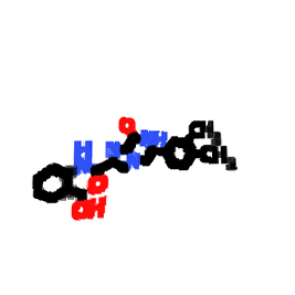 Cc1ccc(-c2cn3cc(C(=O)N[C@@H]4CCCC[C@@H]4CO)nc3c(=O)[nH]2)cc1C